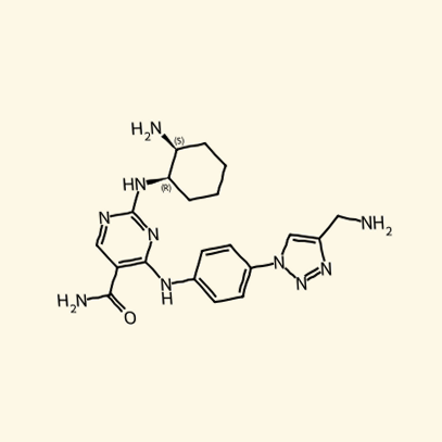 NCc1cn(-c2ccc(Nc3nc(N[C@@H]4CCCC[C@@H]4N)ncc3C(N)=O)cc2)nn1